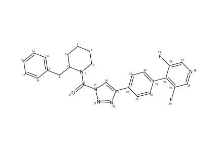 O=C(N1CCCCC1Cc1ccccc1)n1cc(-c2ccc(-c3c(F)cncc3F)cc2)nn1